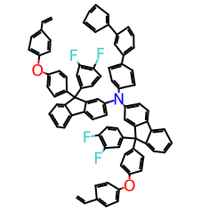 C=Cc1ccc(Oc2ccc(C3(c4ccc(F)c(F)c4)c4ccccc4-c4ccc(N(c5ccc(-c6cccc(-c7ccccc7)c6)cc5)c5ccc6c(c5)C(c5ccc(Oc7ccc(C=C)cc7)cc5)(c5ccc(F)c(F)c5)c5ccccc5-6)cc43)cc2)cc1